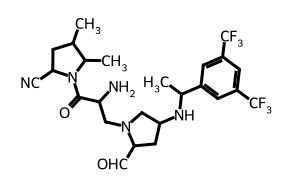 CC(NC1CC(C=O)N(CC(N)C(=O)N2C(C#N)CC(C)C2C)C1)c1cc(C(F)(F)F)cc(C(F)(F)F)c1